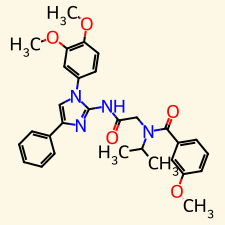 COc1cccc(C(=O)N(CC(=O)Nc2nc(-c3ccccc3)cn2-c2ccc(OC)c(OC)c2)C(C)C)c1